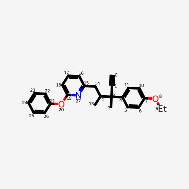 C#CC(C)(c1ccc(OCC)cc1)C(C)Cc1cccc(Oc2ccccc2)n1